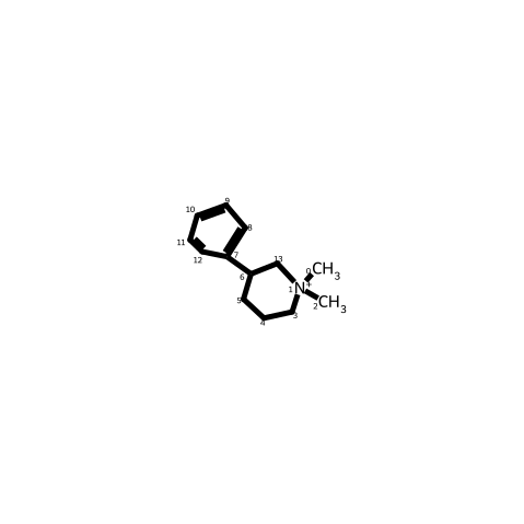 C[N+]1(C)CCCC(c2ccccc2)C1